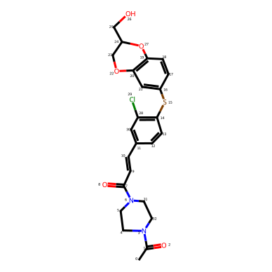 CC(=O)N1CCN(C(=O)/C=C/c2ccc(Sc3ccc4c(c3)OCC(CO)O4)c(Cl)c2)CC1